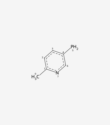 Cc1ccc(P)cn1